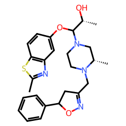 Cc1nc2cc(OC([C@@H](C)O)N3CCN(CC4=NOC(c5ccccc5)C4)[C@@H](C)C3)ccc2s1